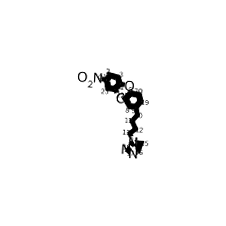 O=[N+]([O-])c1ccc(Oc2ccc(CCCCn3ccnn3)cc2)c(Cl)c1